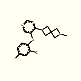 CN1CC2(C1)CN(c1ncncc1Oc1ccc(F)cc1Cl)C2